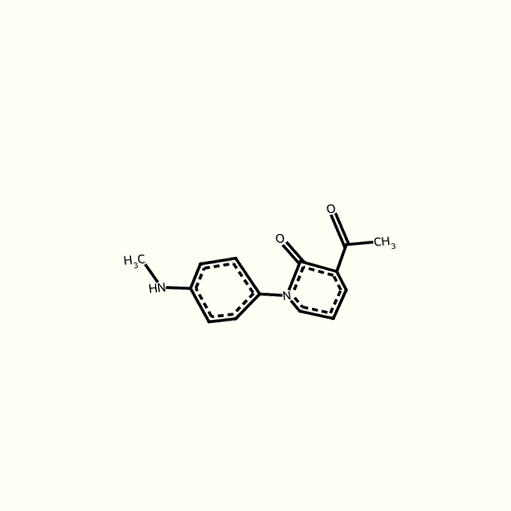 CNc1ccc(-n2cccc(C(C)=O)c2=O)cc1